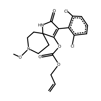 C=CCOC(=O)OC1=C(c2c(Cl)cccc2Cl)C(=O)NC12CCN(OC)CC2